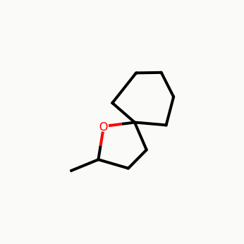 CC1CCC2(CCCCC2)O1